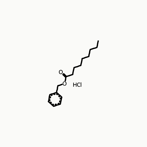 CCCCCCCCC(=O)OCc1ccccc1.Cl